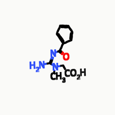 CN(CC(=O)O)C(N)=NC(=O)c1ccccc1